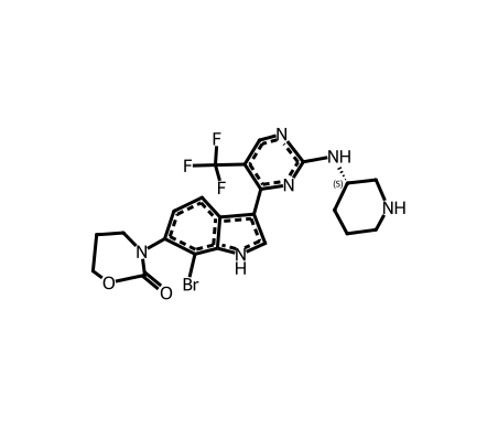 O=C1OCCCN1c1ccc2c(-c3nc(N[C@H]4CCCNC4)ncc3C(F)(F)F)c[nH]c2c1Br